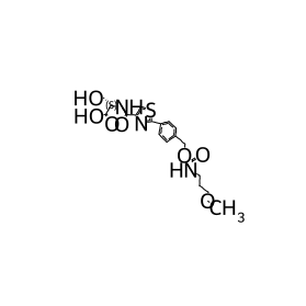 COCCCNC(=O)OCc1ccc(-c2nc(C(=O)N[C@@H](CO)C(=O)O)cs2)cc1